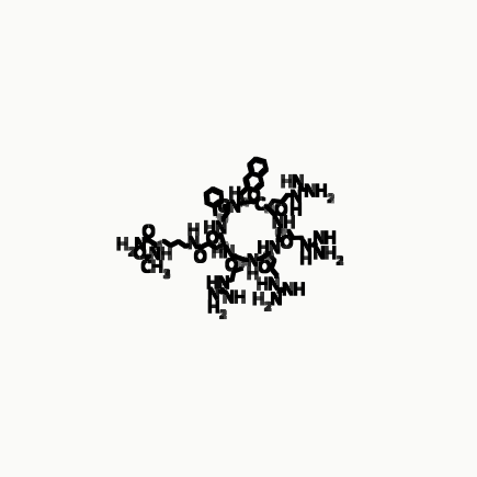 CC(=O)N[C@@H](CCCCNC(=O)CC[C@@H]1NC(=O)[C@@H](CCCNC(=N)N)NC(=O)[C@H](CCCNC(=N)N)NC(=O)[C@@H](CCCNC(=N)N)NC(=O)[C@H](CCCNC(=N)N)CC(=O)[C@H](Cc2ccc3ccccc3c2)NC(=O)[C@@H](Cc2ccccc2)NC1=O)C(N)=O